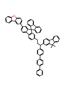 CC1(C)c2ccccc2-c2ccc(C(CCc3ccc4c(c3)C3(c5ccccc5-c5ccccc53)c3cc(-c5ccc6oc7ccccc7c6c5)ccc3-4)c3ccc(-c4ccc(-c5ccccc5)cc4)cc3)cc21